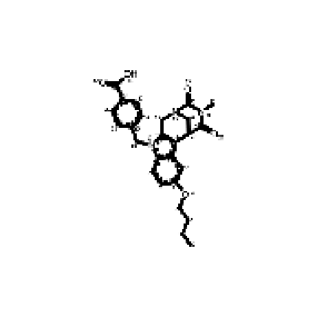 CCCCOc1ccc2c(c1)c1c(n2Cc2ccc(C(=O)O)cc2)CN2CC1C(=O)N(C)C2=O